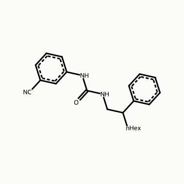 CCCCCCC(CNC(=O)Nc1cccc(C#N)c1)c1ccccc1